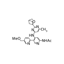 COCc1ccc(-c2cnc(NC(C)=O)cc2Nc2cc(C)nc(C34CC(CO3)C4)n2)nc1